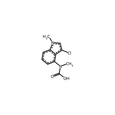 CN(C(=O)O)c1cccc2c1c(Cl)cn2C